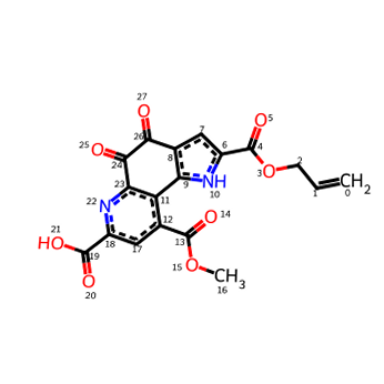 C=CCOC(=O)c1cc2c([nH]1)-c1c(C(=O)OC)cc(C(=O)O)nc1C(=O)C2=O